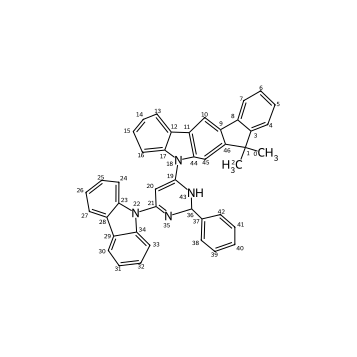 CC1(C)c2ccccc2-c2cc3c4ccccc4n(C4=CC(n5c6ccccc6c6ccccc65)=NC(c5ccccc5)N4)c3cc21